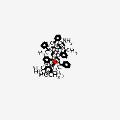 C[C@@H](c1ccccc1)N(CC(N)=O)C(=O)CN(C(=O)CN(C(=O)CN(C(=O)CN(C(=O)CNC1CC(C)(C)N(O)C(C)(C)C1)[C@@H](C)c1ccccc1)[C@@H](C)c1ccccc1)[C@@H](C)c1ccccc1)[C@@H](C)c1ccccc1